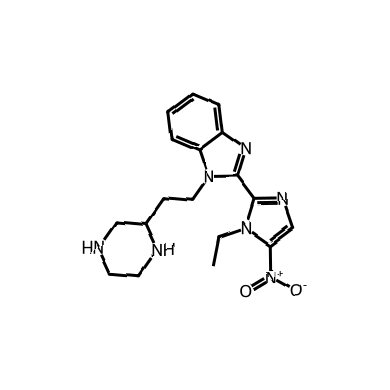 CCn1c([N+](=O)[O-])cnc1-c1nc2ccccc2n1CCC1CNCCN1